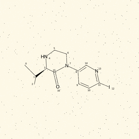 CC(C)[C@H]1NCCN(c2ccc(I)nc2)C1=O